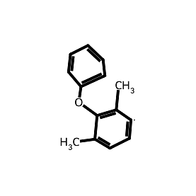 Cc1[c]ccc(C)c1Oc1ccccc1